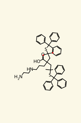 CC(C)(CC(CCCNCCN)(CC(C)(C)SC(c1ccccc1)(c1ccccc1)c1ccccc1)C(=O)O)SC(c1ccccc1)(c1ccccc1)c1ccccc1